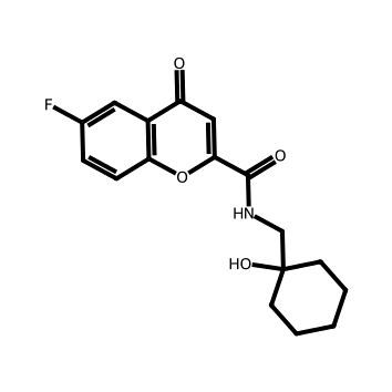 O=C(NCC1(O)CCCCC1)c1cc(=O)c2cc(F)ccc2o1